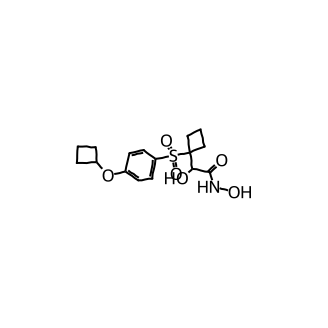 O=C(NO)C(O)C1(S(=O)(=O)c2ccc(OC3CCC3)cc2)CCC1